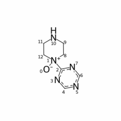 [O-][N+]1(c2ncncn2)CCNCC1